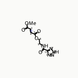 COC(=O)/C=C/C(=O)OCCNC(=O)c1nn[nH]n1